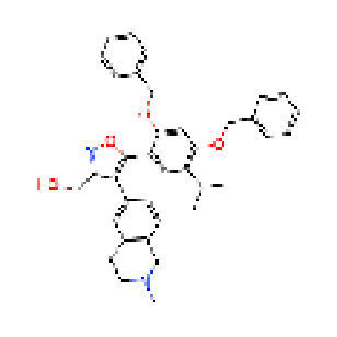 CC(C)c1cc(-c2onc(CO)c2-c2ccc3c(c2)CCN(C)C3)c(OCc2ccccc2)cc1OCc1ccccc1